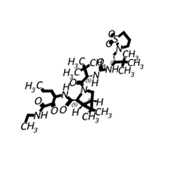 CCCC(NC(=O)[C@@H]1[C@@H]2[C@H](CN1C(=O)[C@@H](NC(=O)N[C@H](CN1CCCS1(=O)=O)C(C)(C)C)C(C)(C)C)C2(C)C)C(=O)C(=O)NCC